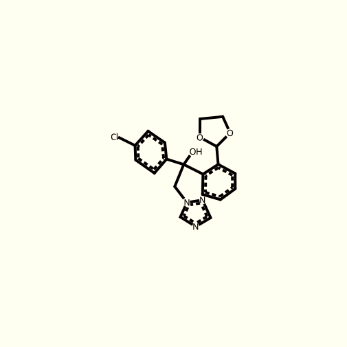 OC(Cn1cncn1)(c1ccc(Cl)cc1)c1ccccc1C1OCCO1